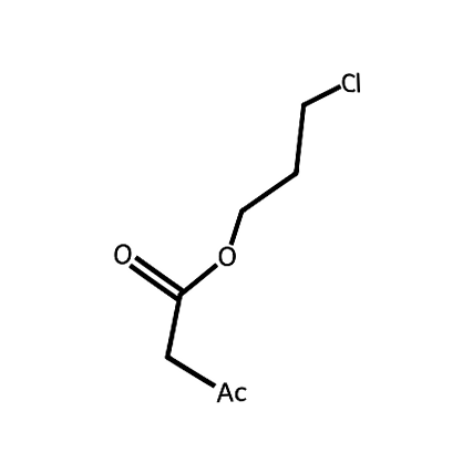 CC(=O)CC(=O)OCCCCl